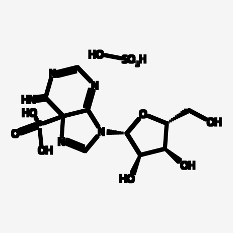 N=C1N=CN=C2N([C@@H]3O[C@H](CO)[C@@H](O)[C@H]3O)C=NC12P(=O)(O)O.O=S(=O)(O)O